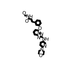 O=CNC(=O)C=Cc1cccc(Oc2cccc3nc(Nc4ccc(N5CCOCC5)nc4)nn23)c1